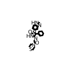 O=C(CN=C1NC(=O)N(c2ccc3[nH]cnc3c2)C1C1=CCCCC1)N1CCSCC1